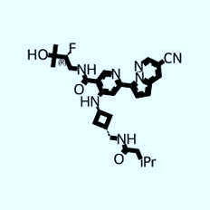 CC(C)CC(=O)NC[C@H]1C[C@H](Nc2cc(-c3ccc4cc(C#N)cnn34)ncc2C(=O)NC[C@@H](F)C(C)(C)O)C1